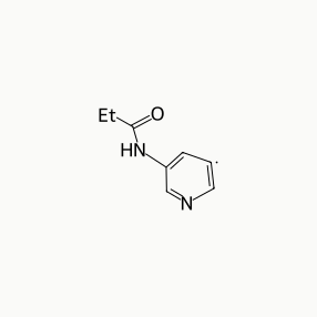 CCC(=O)Nc1c[c]cnc1